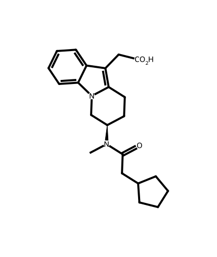 CN(C(=O)CC1CCCC1)[C@@H]1CCc2c(CC(=O)O)c3ccccc3n2C1